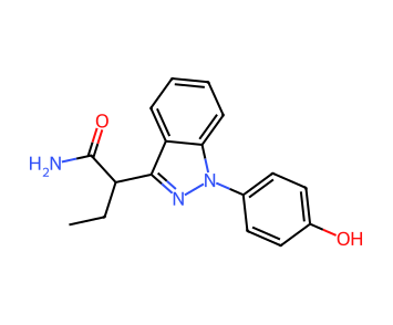 CCC(C(N)=O)c1nn(-c2ccc(O)cc2)c2ccccc12